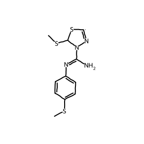 CSc1ccc(N=C(N)N2N=[C]SC2SC)cc1